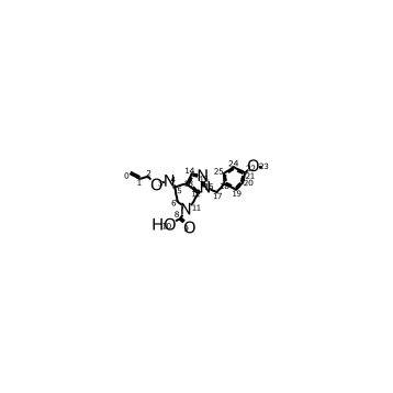 C=CCON=C1CN(C(=O)O)Cc2c1cnn2Cc1ccc(OC)cc1